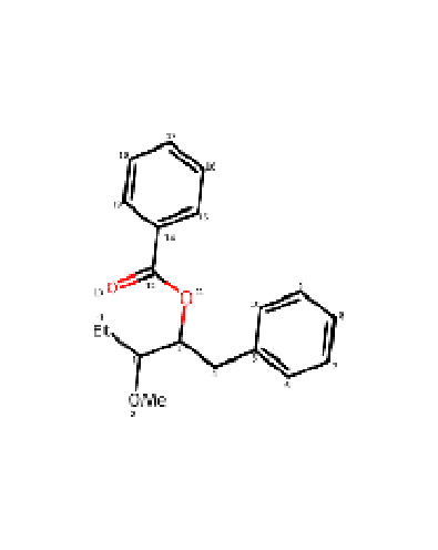 CCC(OC)C(Cc1ccccc1)OC(=O)c1ccccc1